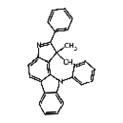 CC1(C)C(c2ccccc2)=Nc2ccc3c4ccccc4n(-c4ccccc4)c3c21